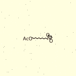 CC(=O)OCCCCCCCCCCN1C(=O)C=CC1=O